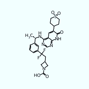 C[C@@H](Nc1ncnc2[nH]c(=O)c(C3CCS(=O)(=O)CC3)cc12)c1cccc(C(F)(F)CC2CN(C(=O)O)C2)c1